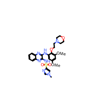 COc1cc(Nc2nc3ccccc3nc2NS(=O)(=O)c2cn(C)cn2)c(OCCN2CCOCC2)c(OC)c1